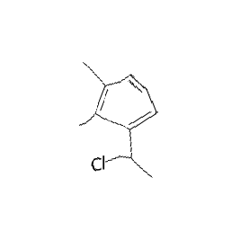 Cc1cccc(C(C)Cl)c1C